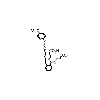 COc1ccc(SCCCCCCCc2ccccc2C(SCCC(=O)O)SCCC(=O)O)cc1